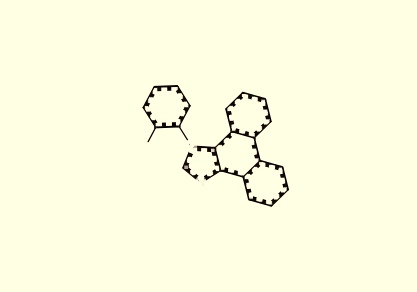 Cc1ccccc1-n1cnc2c3ccccc3c3ccccc3c21